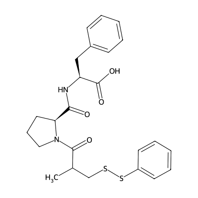 CC(CSSc1ccccc1)C(=O)N1CCC[C@H]1C(=O)N[C@@H](Cc1ccccc1)C(=O)O